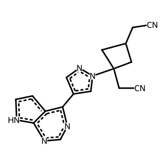 N#CCC1CC(CC#N)(n2cc(-c3ncnc4[nH]ccc34)cn2)C1